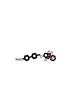 COc1ccc(-c2ccc(CO[C@@H]3C[C@@H]4C(=O)C(=O)C[C@H]3C4N3CCCCC3)cc2)cc1